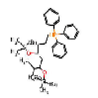 C[C@H](C=O)[C@@H](C[C@@H](CCC[PH](c1ccccc1)(c1ccccc1)c1ccccc1)O[Si](C)(C)C(C)(C)C)O[Si](C)(C)C(C)(C)C